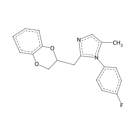 Cc1cnc(CC2COc3ccccc3O2)n1-c1ccc(F)cc1